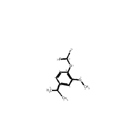 COc1cc(C(C)C)ccc1OC(F)F